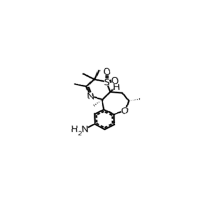 CC1=N[C@]2(C)c3cc(N)ccc3O[C@@H](C)C[C@H]2S(=O)(=O)C1(C)C